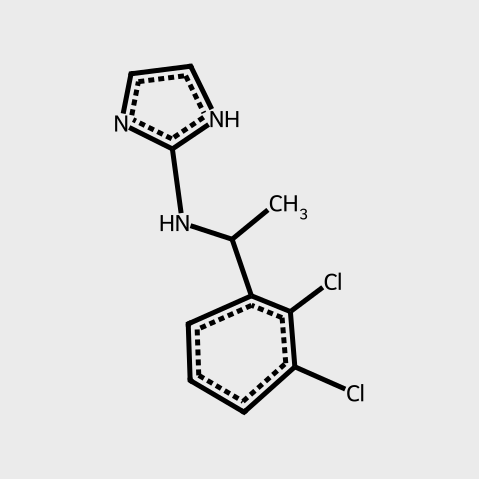 CC(Nc1ncc[nH]1)c1cccc(Cl)c1Cl